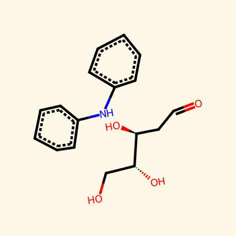 O=CC[C@H](O)[C@H](O)CO.c1ccc(Nc2ccccc2)cc1